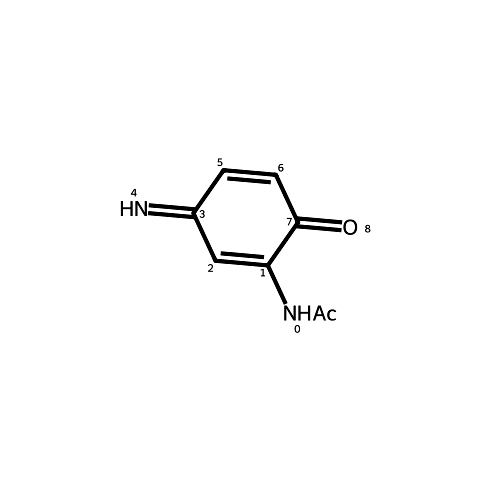 CC(=O)NC1=CC(=N)C=CC1=O